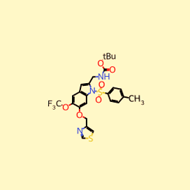 Cc1ccc(S(=O)(=O)n2c(CNC(=O)OC(C)(C)C)cc3cc(OC(F)(F)F)c(OCc4cscn4)cc32)cc1